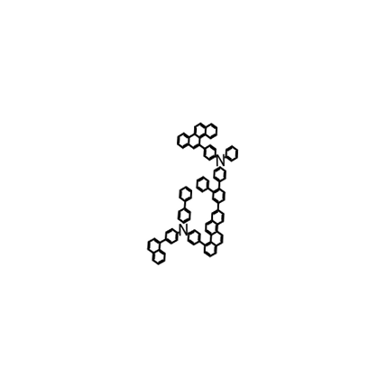 c1ccc(-c2ccc(N(c3ccc(-c4cccc5ccccc45)cc3)c3ccc(-c4cccc5ccc6c7ccc(-c8ccc(-c9ccc(N(c%10ccccc%10)c%10ccc(-c%11cc%12ccccc%12c%12ccc%13ccccc%13c%11%12)cc%10)cc9)c(-c9ccccc9)c8)cc7ccc6c45)cc3)cc2)cc1